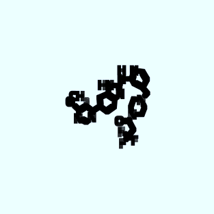 COc1cc(-c2ccc3nc(Nc4cc(CN5CCN(C(=O)CC(F)(F)F)CC5)ccn4)[nH]c3c2)ncn1